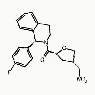 NC[C@H]1CO[C@H](C(=O)N2CCc3ccccc3[C@@H]2c2ccc(F)cc2)C1